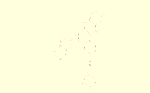 Cc1cc(C#Cc2ccccc2)ccc1-n1c(/C=C/c2ccc3ccccc3c2)nc2ccccc2c1=O